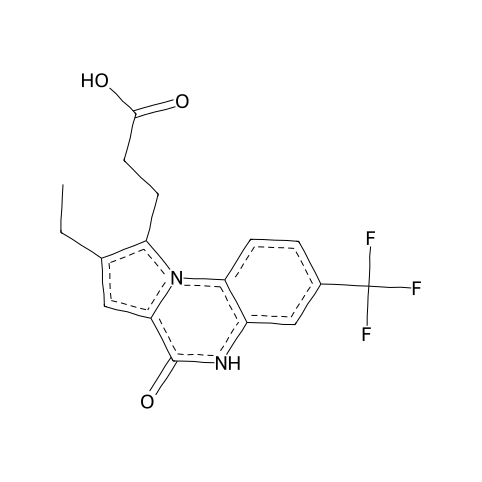 CCc1cc2c(=O)[nH]c3cc(C(F)(F)F)ccc3n2c1CCC(=O)O